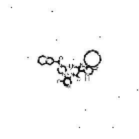 Nc1nn2c(c1C(=O)Nc1cncc(F)c1N1CCN(C(=O)C3CC4CCCCN4C3)CC1)NCC(F)C21CCCCCCCCCC1